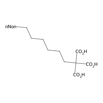 CCCCCCCCCCCCCCCC(C(=O)O)(C(=O)O)C(=O)O